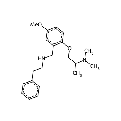 COc1ccc(OCC(C)N(C)C)c(CNCCc2ccccc2)c1